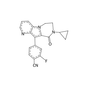 N#Cc1ccc(-c2c3n(c4cccnc24)CCN(C2CC2)C3=O)cc1F